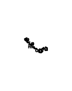 O=C(CSCc1ccco1)NCCCOc1cccc(CN2CCCC2)c1